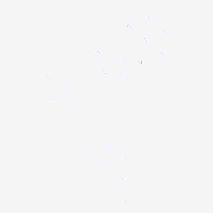 CCN(CC)c1nc(N)nc(Cl)n1.CCN(CC)c1nc(N)nc(SC)n1.CCNc1nc(Cl)nc(NCC)n1.CCNc1nc(NCC)nc(SC)n1